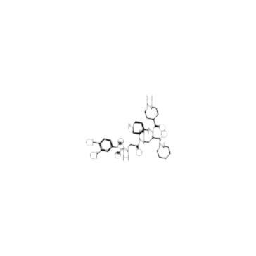 O=C(CNS(=O)(=O)c1ccc(Cl)c(Cl)c1)NCC(C(=O)N1CCCCC1)N(C(=O)C1CCNCC1)c1ccncc1